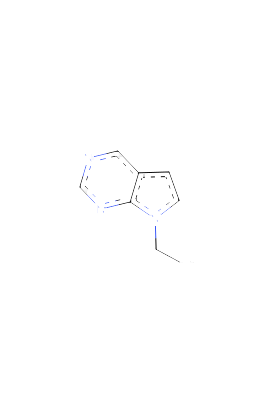 CC(C)Cn1ccc2cncnc21